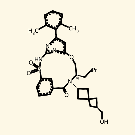 Cc1cccc(C)c1-c1cc2nc(n1)NS(=O)(=O)c1cccc(c1)C(=O)N([C@H]1CC3(C[C@H](CO)C3)C1)[C@H](CC(C)C)CO2